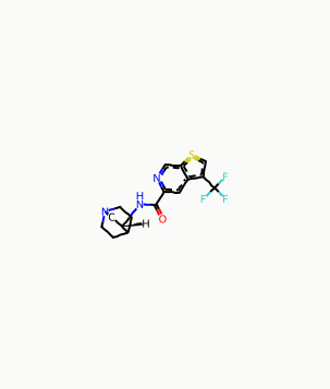 O=C(N[C@H]1CN2CCC1CC2)c1cc2c(C(F)(F)F)csc2cn1